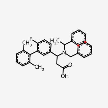 Cc1cccc(C)c1-c1cc(C(CC(=O)O)N(Cc2ccccc2)C(C)c2ccccc2)ccc1F